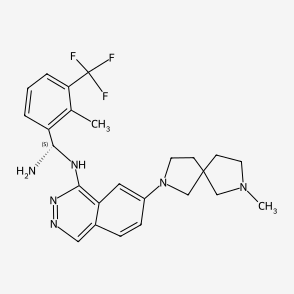 Cc1c([C@@H](N)Nc2nncc3ccc(N4CCC5(CCN(C)C5)C4)cc23)cccc1C(F)(F)F